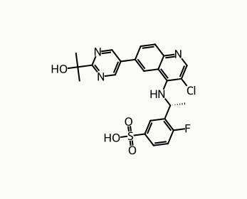 C[C@@H](Nc1c(Cl)cnc2ccc(-c3cnc(C(C)(C)O)nc3)cc12)c1cc(S(=O)(=O)O)ccc1F